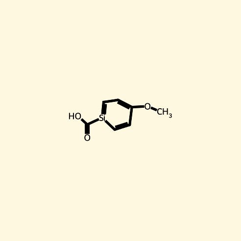 COc1cc[si](C(=O)O)cc1